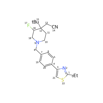 CCc1nc(-c2ccc(CN3CCC(CC#N)(C(C)(C)C)C(F)C3)cc2)cs1